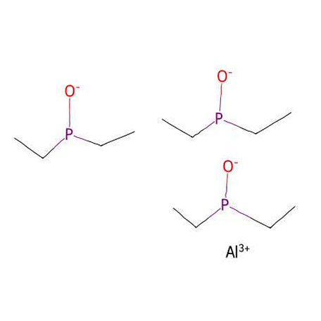 CCP([O-])CC.CCP([O-])CC.CCP([O-])CC.[Al+3]